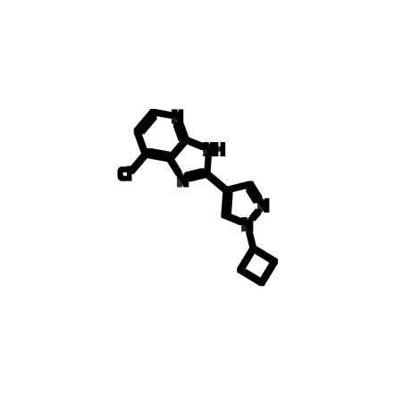 Clc1ccnc2[nH]c(-c3cnn(C4CCC4)c3)nc12